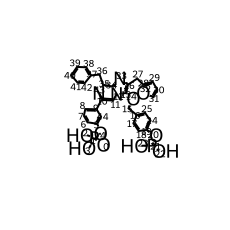 O=P(O)(O)Oc1cccc(-c2cn3c(OCc4ccc(OP(O)O)cc4)c(Cc4ccco4)nc3c(Cc3ccccc3)n2)c1